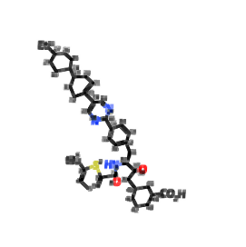 C=C(S/C(=C\C)C(C)(C)C)C(=O)N[C@@H](Cc1ccc(-c2ncc(C3=CCC(C4CCC(CC)CC4)CC3)cn2)cc1)C(=O)CC1CCCC(C(=O)O)C1